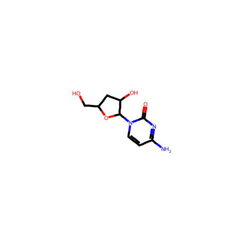 Nc1ccn(C2OC(CO)CC2O)c(=O)n1